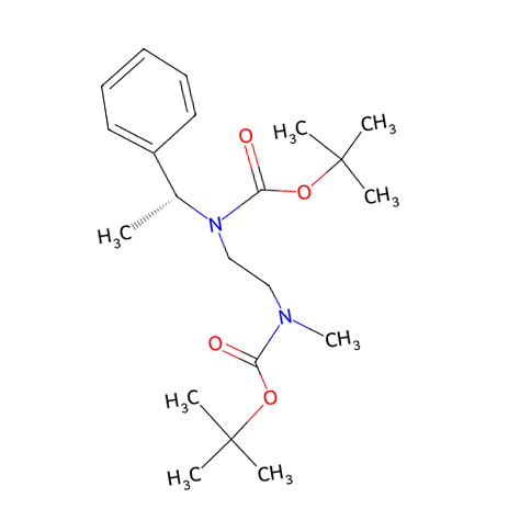 C[C@H](c1ccccc1)N(CCN(C)C(=O)OC(C)(C)C)C(=O)OC(C)(C)C